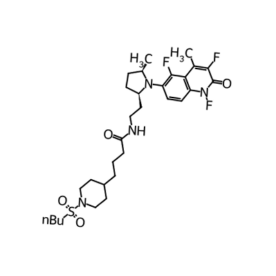 CCCCS(=O)(=O)N1CCC(CCCC(=O)NCC[C@H]2CC[C@@H](C)N2c2ccc3c(c(C)c(F)c(=O)n3F)c2F)CC1